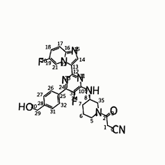 N#CCC(=O)N1CCC[C@@H](Nc2nc(-c3cnc4ccc(F)cn34)nc(-c3ccc(CO)cc3)c2F)C1